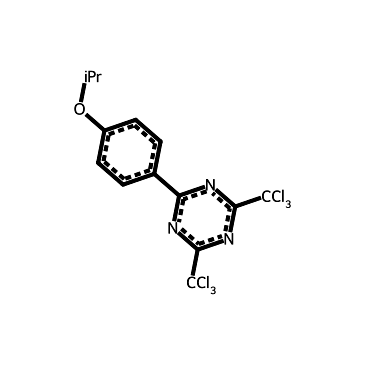 CC(C)Oc1ccc(-c2nc(C(Cl)(Cl)Cl)nc(C(Cl)(Cl)Cl)n2)cc1